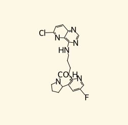 O=C(O)N1CCCC1c1cc(F)cnc1CCCCNc1ncnc2ccc(Cl)nc12